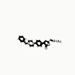 CC(=O)NC[C@H]1CC(c2ccc(N3CCN(Cc4ccccc4)CC3)cc2)C(=O)O1